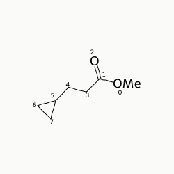 COC(=O)CCC1CC1